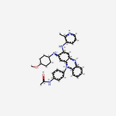 COC1CCC(/N=c2\cc3n(-c4ccc(NC(C)=O)cc4)c4ccccc4nc-3cc2Nc2cccnc2C)CC1